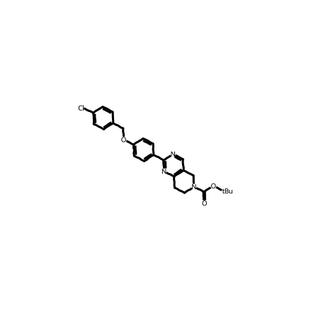 CC(C)(C)OC(=O)N1CCc2nc(-c3ccc(OCc4ccc(Cl)cc4)cc3)ncc2C1